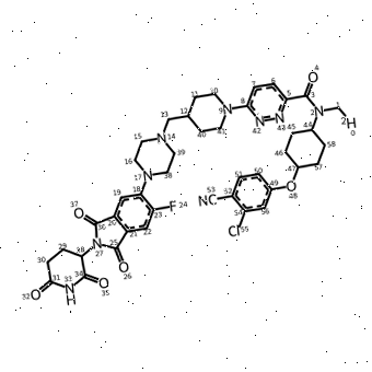 [2H]CN(C(=O)c1ccc(N2CCC(CN3CCN(c4cc5c(cc4F)C(=O)N(C4CCC(=O)NC4=O)C5=O)CC3)CC2)nn1)C1CCC(Oc2ccc(C#N)c(Cl)c2)CC1